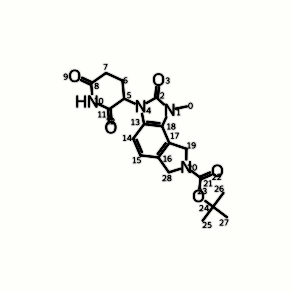 Cn1c(=O)n(C2CCC(=O)NC2=O)c2ccc3c(c21)CN(C(=O)OC(C)(C)C)C3